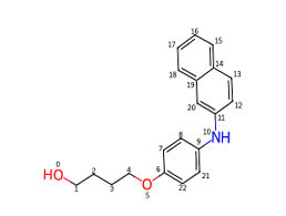 OCCCCOc1ccc(Nc2ccc3ccccc3c2)cc1